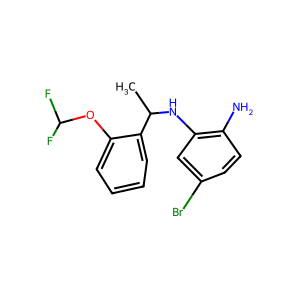 CC(Nc1cc(Br)ccc1N)c1ccccc1OC(F)F